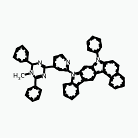 CN1C(c2ccccc2)=NC(c2ccnc(-n3c4ccccc4c4cc5c6c7ccccc7ccc6n(-c6ccccc6)c5cc43)c2)=NC1c1ccccc1